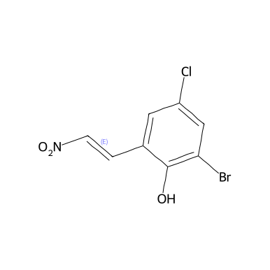 O=[N+]([O-])/C=C/c1cc(Cl)cc(Br)c1O